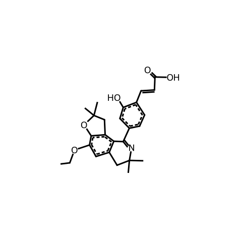 CCOc1cc2c(c3c1OC(C)(C)C3)C(c1ccc(C=CC(=O)O)c(O)c1)=NC(C)(C)C2